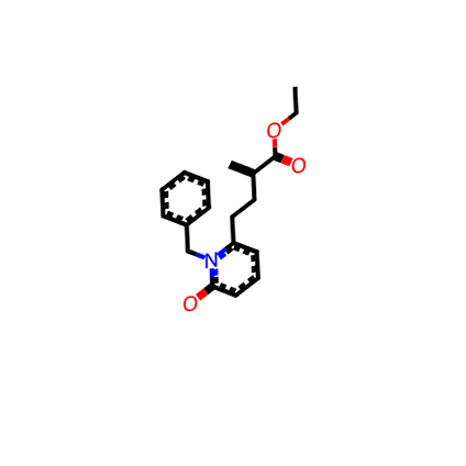 C=C(CCc1cccc(=O)n1Cc1ccccc1)C(=O)OCC